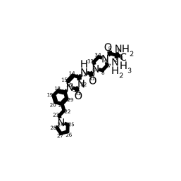 CC(N)(N)C(=O)N1CCN(C(=O)Nc2ccn(-c3cccc(CCN4CCCC4)c3)c(=O)n2)CC1